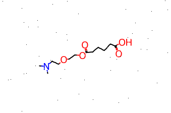 CN(C)CCOCCOC(=O)CCCCC(=O)O